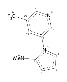 CNc1cccn1-c1cncc(C(F)(F)F)c1